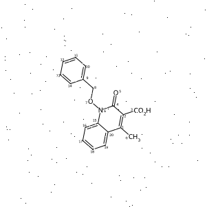 Cc1c(C(=O)O)c(=O)n(OCc2ccccc2)c2ccccc12